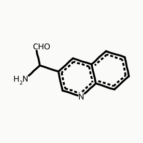 NC(C=O)c1cnc2ccccc2c1